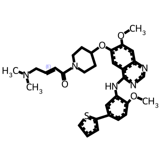 COc1ccc(-c2cccs2)cc1Nc1ncnc2cc(OC)c(OC3CCN(C(=O)/C=C/CN(C)C)CC3)cc12